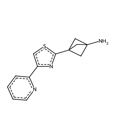 NC12CC(c3nc(-c4ccccn4)cs3)(C1)C2